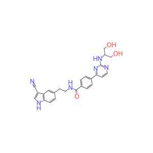 N#Cc1c[nH]c2ccc(CCNC(=O)c3ccc(-c4ccnc(NC(CO)CO)n4)cc3)cc12